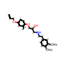 C=CCOc1ccc(OCC(O)CNCCc2ccc(OC)c(OC)c2)c(C)c1